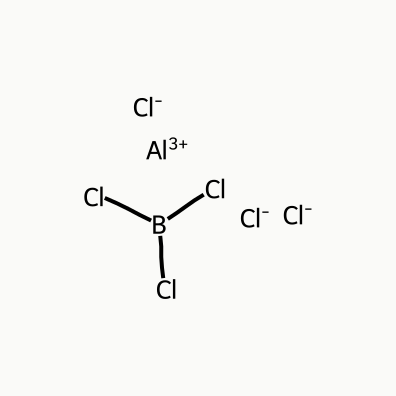 ClB(Cl)Cl.[Al+3].[Cl-].[Cl-].[Cl-]